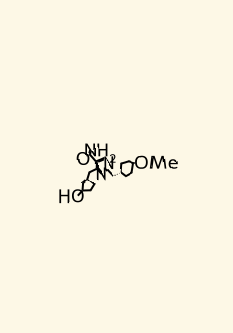 CO[C@H]1CC[C@H](Cc2ncc(C(N)=O)c(CC3CCC(O)C3)n2)CC1